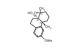 COc1ccc2c(c1)[C@@]1(C)CCC[C@](C)(C(=O)O)[C@@H]1CC2